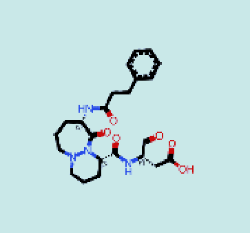 O=C[C@H](CC(=O)O)NC(=O)[C@@H]1CCCN2CCC[C@H](NC(=O)CCc3ccccc3)C(=O)N12